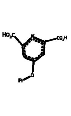 CC(C)Oc1cc(C(=O)O)nc(C(=O)O)c1